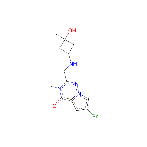 Cn1c(CNC2CC(C)(O)C2)nn2cc(Br)cc2c1=O